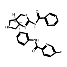 O=C(NC1=N[C@@]2(c3cccc(NC(=O)c4ccc(F)cn4)c3)CNC[C@H]2CS1)c1ccccc1